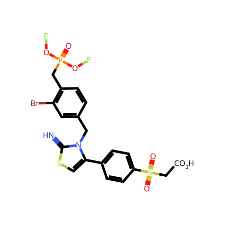 N=c1scc(-c2ccc(S(=O)(=O)CC(=O)O)cc2)n1Cc1ccc(CP(=O)(OF)OF)c(Br)c1